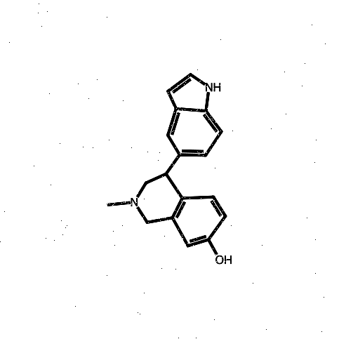 CN1Cc2cc(O)ccc2C(c2ccc3[nH]ccc3c2)C1